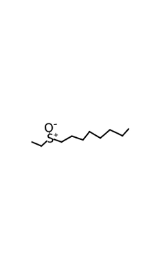 CCCCCCCC[S+]([O-])CC